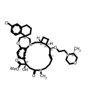 COC(=O)[C@@]1(O)CC(=O)N(C)CC/C=C/[C@H](OCCN2CCOC[C@H]2C)[C@@H]2CC[C@H]2CN2C[C@@]3(CCCc4cc(Cl)ccc43)COc3ccc1cc32